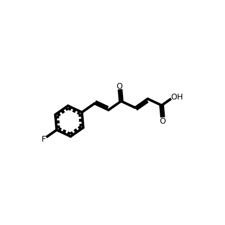 O=C(O)C=CC(=O)C=Cc1ccc(F)cc1